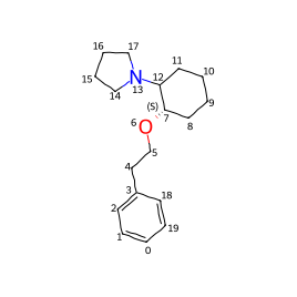 c1ccc(CCO[C@H]2CCCCC2N2CCCC2)cc1